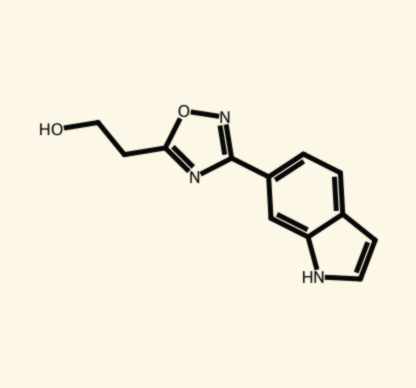 OCCc1nc(-c2ccc3cc[nH]c3c2)no1